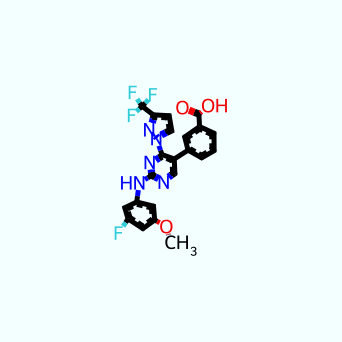 COc1cc(F)cc(Nc2ncc(-c3cccc(C(=O)O)c3)c(-n3ccc(C(F)(F)F)n3)n2)c1